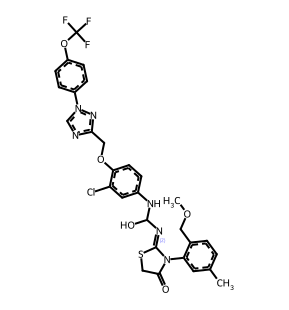 COCc1ccc(C)cc1N1C(=O)CS/C1=N\C(O)Nc1ccc(OCc2ncn(-c3ccc(OC(F)(F)F)cc3)n2)c(Cl)c1